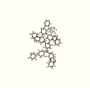 CC1(C)c2ccccc2-c2ccc(-c3c(-c4ccc5oc6ccccc6c5c4-c4ccc(N(c5ccc(-c6ccccc6)cc5)c5ccc6oc7ccccc7c6c5)cc4)ccc4oc5ccccc5c34)cc21